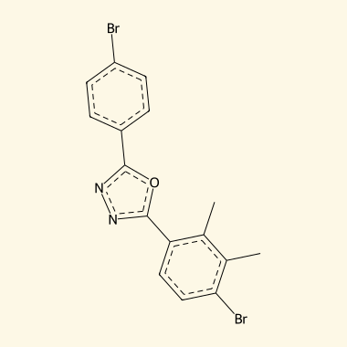 Cc1c(Br)ccc(-c2nnc(-c3ccc(Br)cc3)o2)c1C